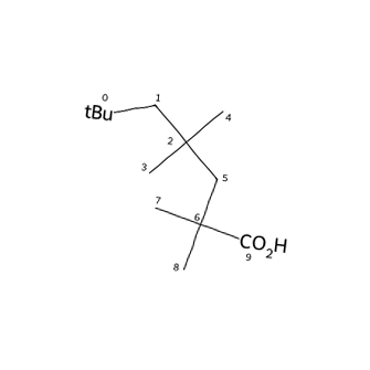 CC(C)(C)CC(C)(C)CC(C)(C)C(=O)O